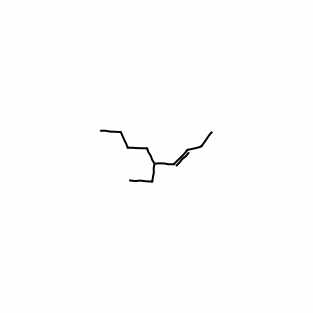 CCC=CC(CC)CCCC